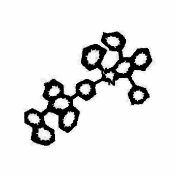 c1ccc(-c2c3ccccc3c(-c3ccccc3)c3c2nc(-c2ccc(-c4c5ccccc5c(-c5cccc6ccccc56)c5ccccc45)cc2)n3-c2ccccc2)cc1